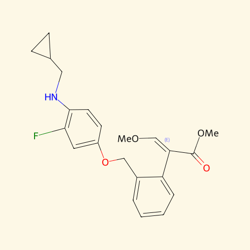 CO/C=C(/C(=O)OC)c1ccccc1COc1ccc(NCC2CC2)c(F)c1